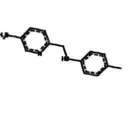 Bc1ccc(CBc2ccc(C)cc2)nc1